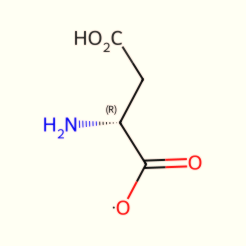 N[C@H](CC(=O)O)C([O])=O